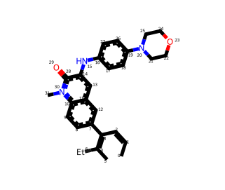 C/C=C\C(=C(/C)CC)c1ccc2c(c1)cc(Nc1ccc(N3CCOCC3)cc1)c(=O)n2C